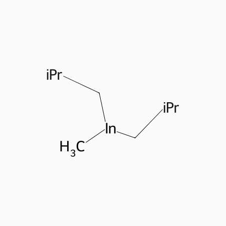 CC(C)[CH2][In]([CH3])[CH2]C(C)C